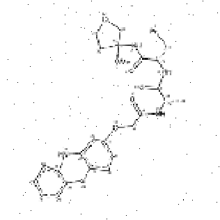 CO[C@@]1(NC(=O)[C@H](CC(C)C)NC(=O)[C@H](C)NC(=O)COc2ccc3c(c2)Nc2ccccc2S3)CCOC1